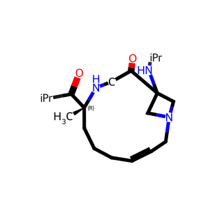 CC(C)NC12CN(CC=CCCC[C@](C)(C(=O)C(C)C)NCC1=O)C2